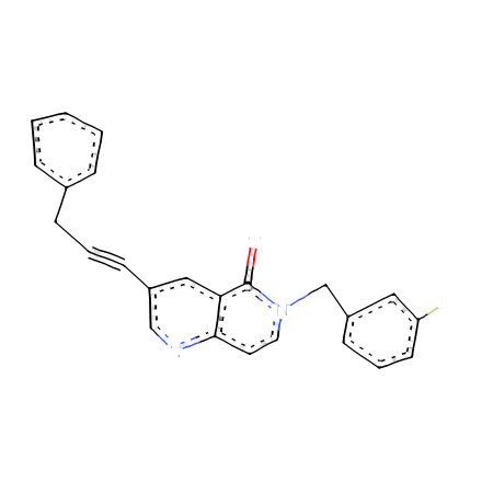 O=c1c2cc(C#CCc3ccccc3)cnc2ccn1Cc1cccc(F)c1